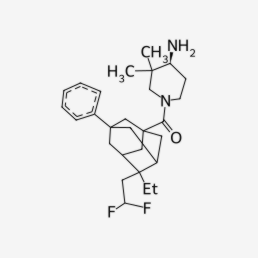 CCC1(CC(F)F)C2CC3(C(=O)N4CC[C@H](N)C(C)(C)C4)CC1CC(c1ccccc1)(C2)C3